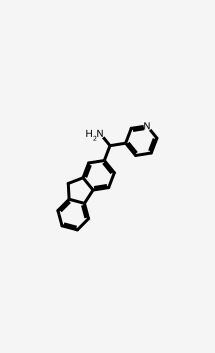 NC(c1cccnc1)c1ccc2c(c1)Cc1ccccc1-2